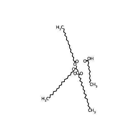 CCCCCCCCCCCC(=O)O.CCCCCCCCCCCCCCCCCC(=O)OCC(COC(=O)CCCCCCCCCCCCCCCCC)OC(=O)CCCCCCCCCCCCCCCCC